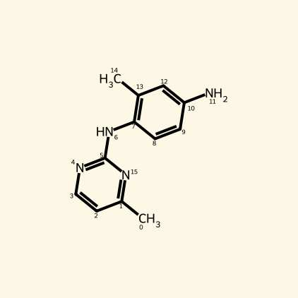 Cc1ccnc(Nc2ccc(N)cc2C)n1